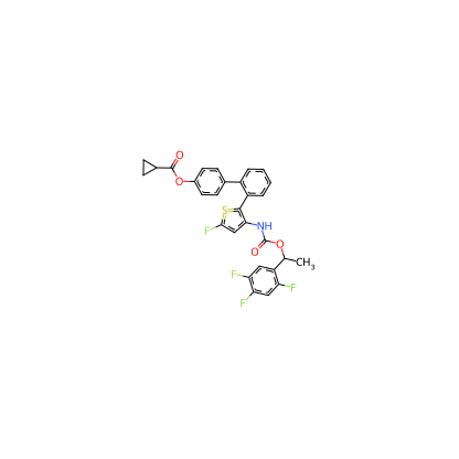 CC(OC(=O)Nc1cc(F)sc1-c1ccccc1-c1ccc(OC(=O)C2CC2)cc1)c1cc(F)c(F)cc1F